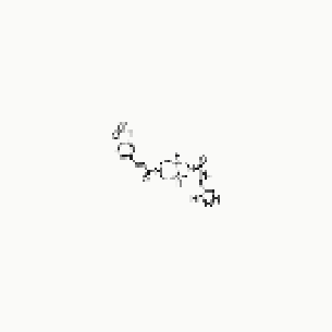 CN(Cc1cnn[nH]1)C(=O)N1C[C@H]2CCN(C(=O)/C=C/c3ccc(OC(F)(F)F)cc3)CC[C@H]2C1